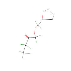 O=C(C(F)(F)C(F)(F)C(F)(F)F)C(F)(OC(F)(F)C1CCCO1)C(F)(F)F